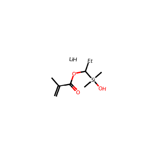 C=C(C)C(=O)OC(CC)[Si](C)(C)O.[LiH]